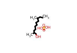 CCCC(C)CCCCCCC(C)CO.O=S(=O)(O)O